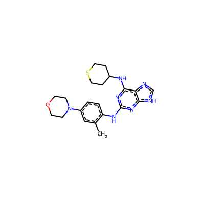 Cc1cc(N2CCOCC2)ccc1Nc1nc(NC2CCSCC2)c2nc[nH]c2n1